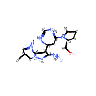 Cc1cnc2c(-c3cc(N4CCC[C@H]4CO)ncn3)c(N)nn2c1